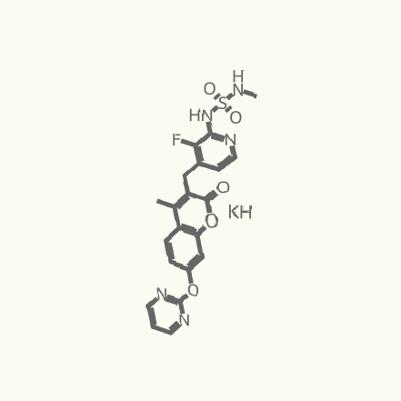 CNS(=O)(=O)Nc1nccc(Cc2c(C)c3ccc(Oc4ncccn4)cc3oc2=O)c1F.[KH]